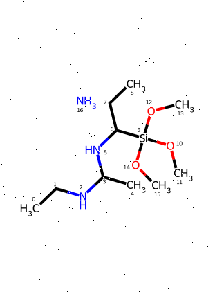 CCNC(C)NC(CC)[Si](OC)(OC)OC.N